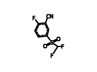 N#Cc1cc(S(=O)(=O)C(F)F)ccc1F